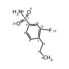 CCCc1ccc(S(N)(=O)=O)cc1F